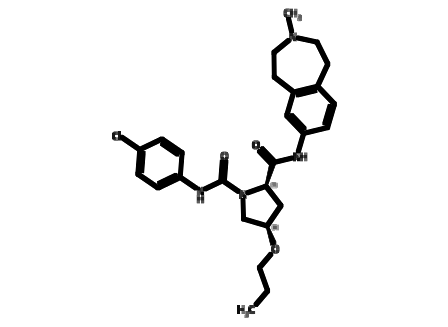 CCCO[C@@H]1C[C@H](C(=O)Nc2ccc3c(c2)CCN(C)CC3)N(C(=O)Nc2ccc(Cl)cc2)C1